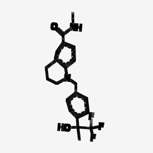 CNC(=O)c1ccc2c(c1)CCCN2Cc1ccc(C(C)(O)C(F)(F)F)cc1